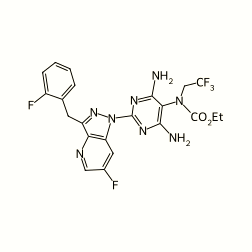 CCOC(=O)N(CC(F)(F)F)c1c(N)nc(-n2nc(Cc3ccccc3F)c3ncc(F)cc32)nc1N